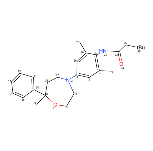 Cc1cc(N2CCOC(C)(c3ccccc3)CC2)cc(C)c1NC(=O)CC(C)(C)C